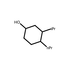 CCCC1CCC(O)CC1C(C)C